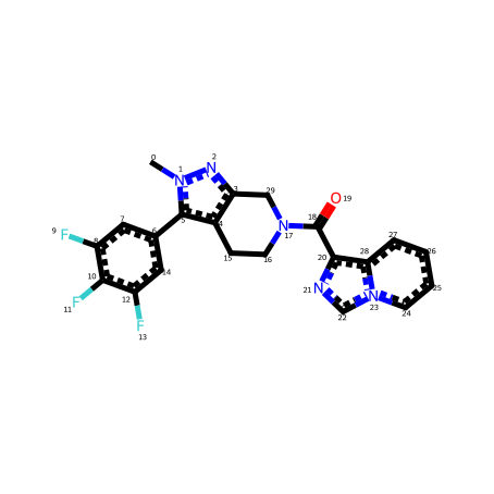 Cn1nc2c(c1-c1cc(F)c(F)c(F)c1)CCN(C(=O)c1ncn3ccccc13)C2